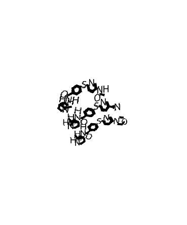 CC(=O)Nc1ccc(Sc2ccc(C(=O)N[C@@H]3C4CCN(CC4)[C@H]3C)cc2)nc1.C[C@H]1[C@H](NC(=O)c2ccc(Sc3ccc(C#N)cn3)cc2)C2CCN1CC2.C[C@H]1[C@H](NC(=O)c2ccc(Sc3ccc(N4CCOCC4)cn3)cc2)C2CCN1CC2